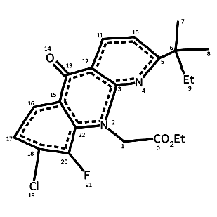 CCOC(=O)Cn1c2nc(C(C)(C)CC)ccc2c(=O)c2ccc(Cl)c(F)c21